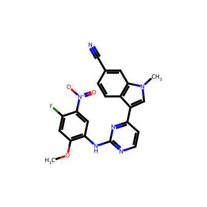 COc1cc(F)c([N+](=O)[O-])cc1Nc1nccc(-c2cn(C)c3cc(C#N)ccc23)n1